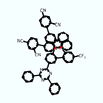 N#Cc1ccc(-c2ccc3c(c2)c2ccccc2n3-c2ccc(-c3nc(-c4ccccc4)nc(-c4ccccc4)n3)cc2-c2ccc(C(F)(F)F)cc2-n2c3ccccc3c3cc(-c4ccc(C#N)cc4C#N)ccc32)c(C#N)c1